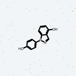 Oc1ccc(-n2ncc3c(O)cccc32)cc1